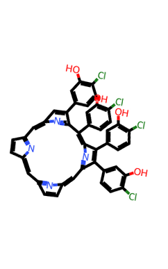 Oc1cc(C2=CC3=CC4=NC(=CC5=NC(=CC6=NC(=C(c7ccc(Cl)c(O)c7)C2=N3)C(c2ccc(Cl)c(O)c2)=C6c2ccc(Cl)c(O)c2)C=C5)C=C4)ccc1Cl